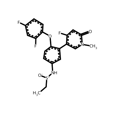 CC[S+]([O-])Nc1ccc(Oc2ccc(F)cc2F)c(-c2cn(C)c(=O)cc2F)c1